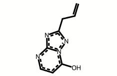 C=CCc1nc2nccc(O)n2n1